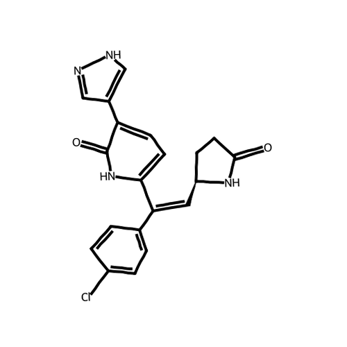 O=C1CC[C@H](/C=C(/c2ccc(Cl)cc2)c2ccc(-c3cn[nH]c3)c(=O)[nH]2)N1